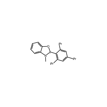 CC(C)c1cc(C(C)C)c(B2Oc3ccccc3N2C)c(C(C)C)c1